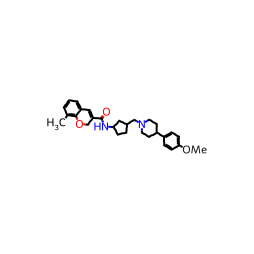 COc1ccc(C2CCN(CC3CCC(NC(=O)C4=Cc5cccc(C)c5OC4)C3)CC2)cc1